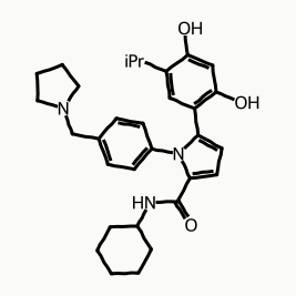 CC(C)c1cc(-c2ccc(C(=O)NC3CCCCC3)n2-c2ccc(CN3CCCC3)cc2)c(O)cc1O